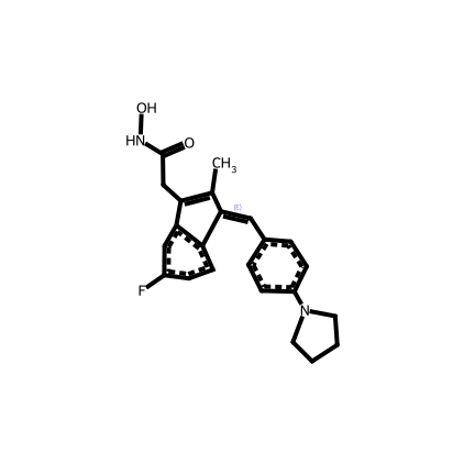 CC1=C(CC(=O)NO)c2cc(F)ccc2/C1=C\c1ccc(N2CCCC2)cc1